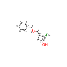 O[C@@H]1C[C@@H](COCc2ccccc2)[C@H]1F